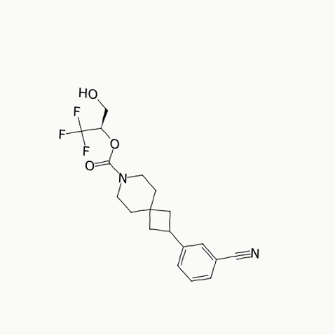 N#Cc1cccc(C2CC3(CCN(C(=O)O[C@H](CO)C(F)(F)F)CC3)C2)c1